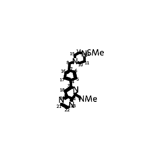 CNc1nc(-c2ccc(CN3CCN(SC)CC3)cc2)cc2nccnc12